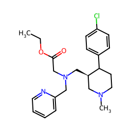 CCOC(=O)CN(Cc1ccccn1)C[C@@H]1CN(C)CCC1c1ccc(Cl)cc1